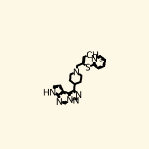 C/C=C(/CN1CCC(c2nnn3cnc4[nH]ccc4c23)CC1)Sc1ccccn1